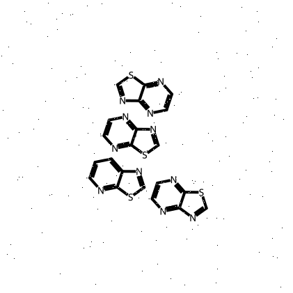 [c]1ccc2ncsc2n1.[c]1cnc2ncsc2n1.[c]1cnc2scnc2n1.[c]1nc2nccnc2s1